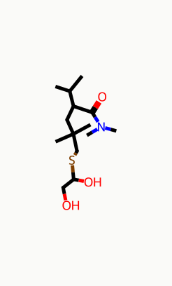 CC(C)C(CC(C)(C)CSC(O)CO)C(=O)N(C)C